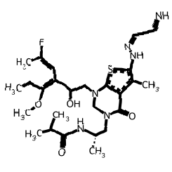 CC/C(OC)=C(\C=C(/C)F)C(O)CN1CN(C[C@H](C)NC(=O)C(C)C)C(=O)c2c1sc(N/N=C\C=N)c2C